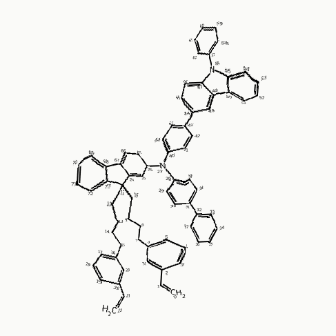 C=Cc1cccc(CCCCC2(CCCCc3cccc(C=C)c3)C3=CC(N(c4ccc(-c5ccccc5)cc4)c4ccc(-c5ccc6c(c5)c5ccccc5n6-c5ccccc5)cc4)CC=C3c3ccccc32)c1